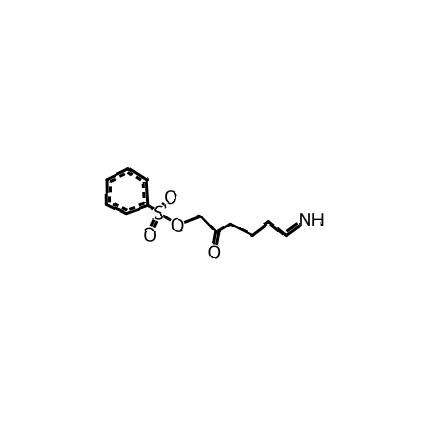 N=CCCCC(=O)COS(=O)(=O)c1ccccc1